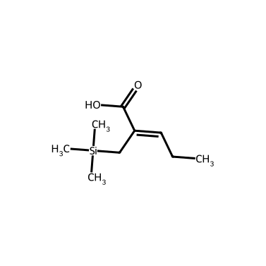 CCC=C(C[Si](C)(C)C)C(=O)O